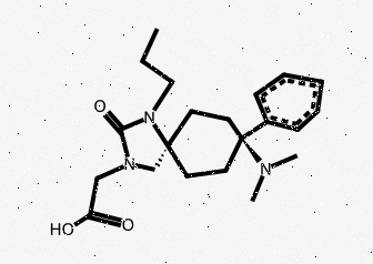 CCCN1C(=O)N(CC(=O)O)C[C@]12CC[C@](c1ccccc1)(N(C)C)CC2